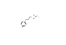 NC1CN(CCCc2ccc(I)cc2)C1